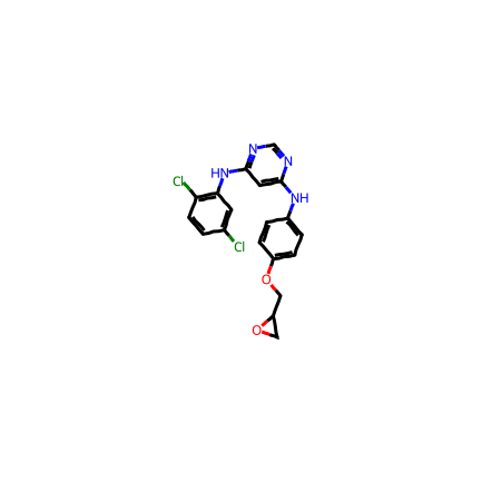 Clc1ccc(Cl)c(Nc2cc(Nc3ccc(OCC4CO4)cc3)ncn2)c1